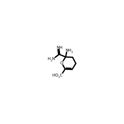 N=C(N)C1(N)CCC=C(C(=O)O)O1